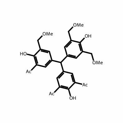 COCc1cc(C(c2cc(COC)c(O)c(C(C)=O)c2)c2cc(C(C)=O)c(O)c(C(C)=O)c2)cc(COC)c1O